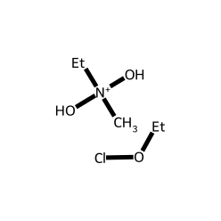 CCOCl.CC[N+](C)(O)O